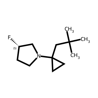 CC(C)(C)CC1(N2CC[C@H](F)C2)CC1